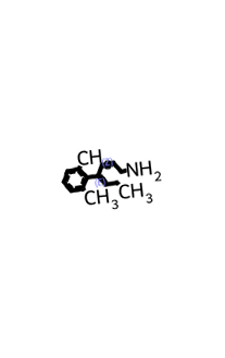 CC/C=C(\C=C/CN)c1c(C)cccc1C